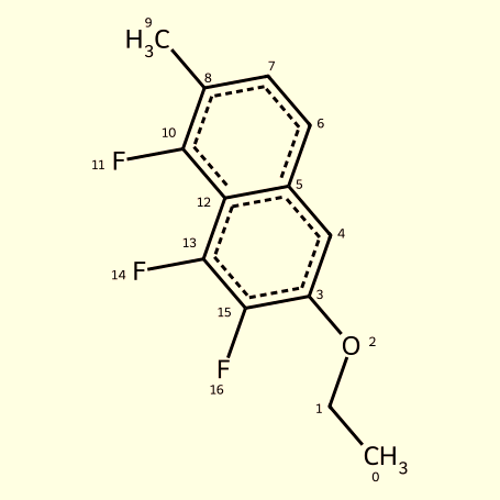 CCOc1cc2ccc(C)c(F)c2c(F)c1F